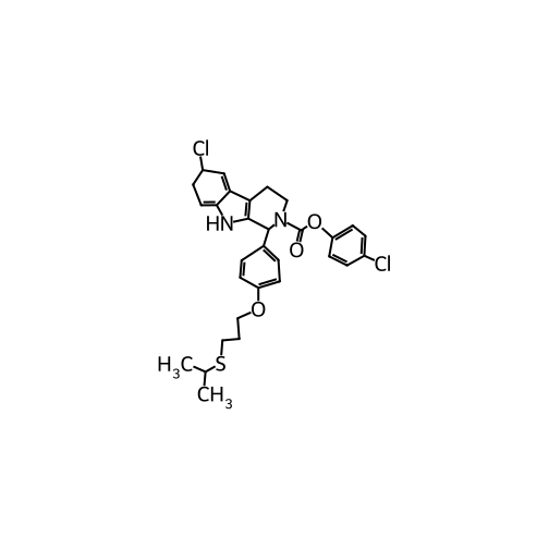 CC(C)SCCCOc1ccc(C2c3[nH]c4c(c3CCN2C(=O)Oc2ccc(Cl)cc2)=CC(Cl)CC=4)cc1